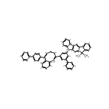 CC1(C)c2ccccc2-c2cc3c4ccccc4n(-c4cc(/C5=N/c6ccccc6/C(c6ccc(-c7ccccc7)cc6)=C\CC5)cc(-c5ccccc5)c4)c3cc21